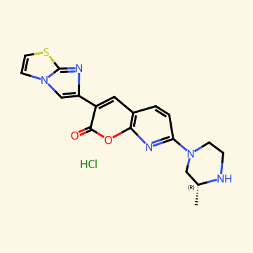 C[C@@H]1CN(c2ccc3cc(-c4cn5ccsc5n4)c(=O)oc3n2)CCN1.Cl